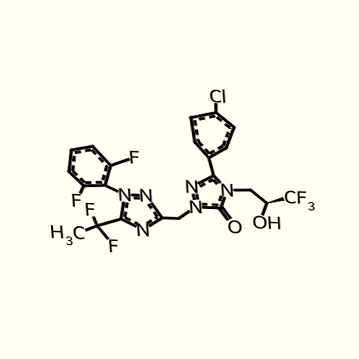 CC(F)(F)c1nc(Cn2nc(-c3ccc(Cl)cc3)n(C[C@H](O)C(F)(F)F)c2=O)nn1-c1c(F)cccc1F